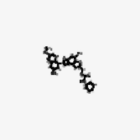 COc1cnc2c(-c3nc4cc(F)c5c(c4s3)C[C@H](COC(=O)Nc3ccccc3)O5)cc(C)cc2n1